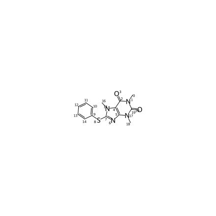 Cn1c(=O)c2c(nc(Sc3ccccc3)n2C)n(C)c1=O